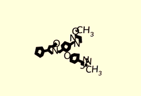 COc1ccnc(-c2ccc(CN3CC(c4ccccc4)CC3=O)c(Oc3ccc(-c4nnc(C)s4)cc3)c2)n1